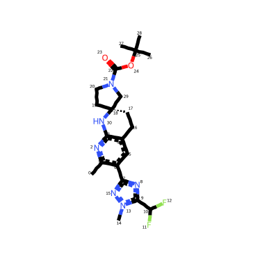 Cc1nc2c(cc1-c1nc(C(F)F)n(C)n1)CC[C@@]1(CCN(C(=O)OC(C)(C)C)C1)N2